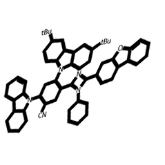 CC(C)(C)C1CCC2C(C1)C1CC(C(C)(C)C)CCC1N2C1CC(N2C3C=CCCC3C3CCCCC32)C(C#N)CC1C1NC(C2CCC3C(C2)OC2=CCCCC23)N1C1CCCCC1